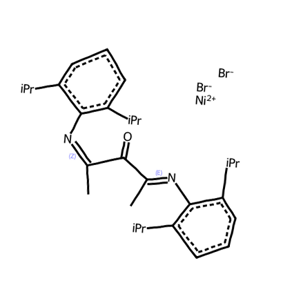 C/C(=N/c1c(C(C)C)cccc1C(C)C)C(=O)/C(C)=N/c1c(C(C)C)cccc1C(C)C.[Br-].[Br-].[Ni+2]